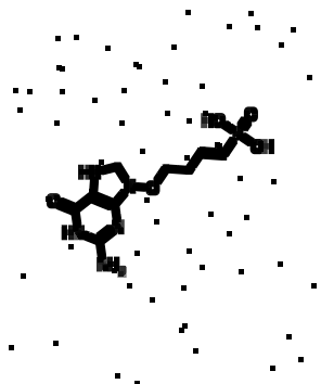 Nc1nc2c(c(=O)[nH]1)NCN2OCCC=CP(=O)(O)O